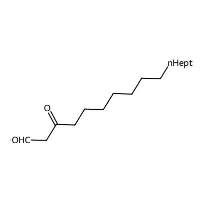 CCCCCCCCCCCCCCC(=O)C[C]=O